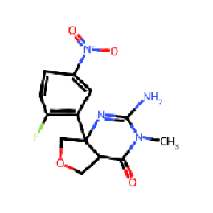 CN1C(=O)C2COCC2(c2cc([N+](=O)[O-])ccc2F)N=C1N